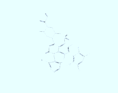 C=CC(=O)N1CC2CS(=O)(=O)c3c(Cl)c(-c4c(N)c(Cl)cc(Cl)c4F)c(F)c4c3c(nc(=O)n4-c3c(C)ccnc3C(C)C)N2CC1C